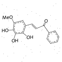 COc1cc(C=CC(=O)c2ccccc2)c(O)c(O)c1O